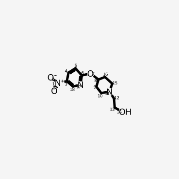 O=[N+]([O-])c1ccc(OC2CCN(CCO)CC2)nc1